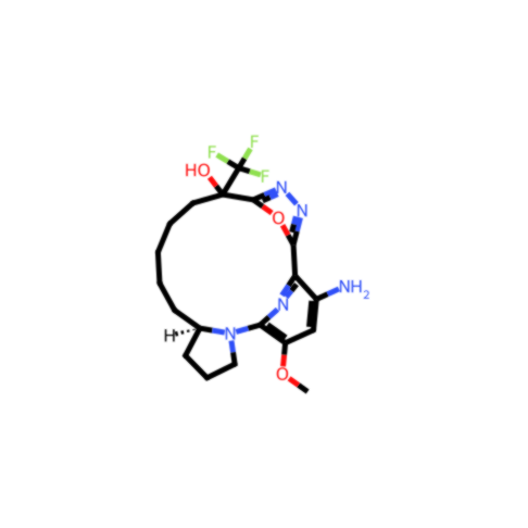 COc1cc(N)c2nc1N1CCC[C@H]1CCCCCC(O)(C(F)(F)F)c1nnc-2o1